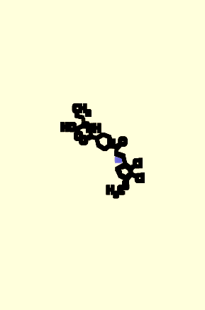 C=CC[C@H](NC(=O)C1CCN(C(=O)/C=C/c2ccc(SC)c(Cl)c2Cl)CC1)C(=O)O